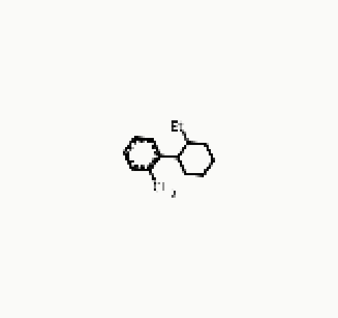 CCC1CCCCC1c1ccccc1C